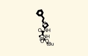 CC(C)C[C@H](NC(=O)OC(C)(C)C)C(=O)N[C@H]1CCN(CCc2ccccc2)C1